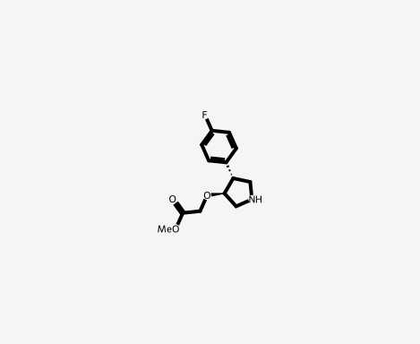 COC(=O)CO[C@@H]1CNC[C@H]1c1ccc(F)cc1